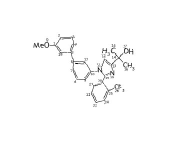 COc1cccc(-c2cccc(-n3cc(C(C)(C)O)nc3-c3ccccc3C(F)(F)F)c2)c1